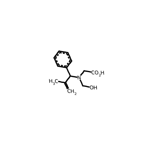 C=C(C)C(c1ccccc1)N(CO)CC(=O)O